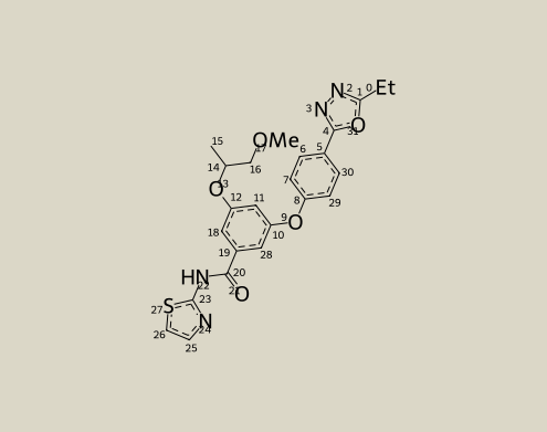 CCc1nnc(-c2ccc(Oc3cc(OC(C)COC)cc(C(=O)Nc4nccs4)c3)cc2)o1